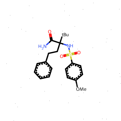 COc1ccc(S(=O)(=O)NC(CCc2ccccc2)(C(N)=O)C(C)(C)C)cc1